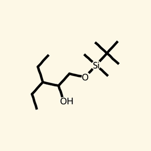 CCC(CC)C(O)CO[Si](C)(C)C(C)(C)C